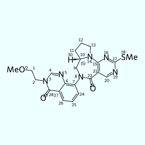 COCCn1cnc2c(N3C[C@@H]4CCCN4c4nc(SC)ncc4C3=O)cccc2c1=O